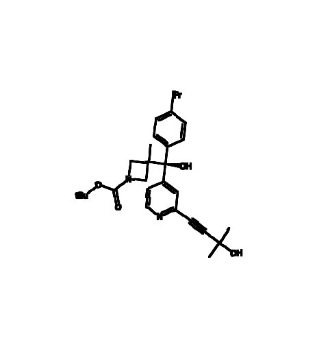 CC(C)c1ccc([C@](O)(c2ccnc(C#CC(C)(C)O)c2)C2(C)CN(C(=O)OC(C)(C)C)C2)cc1